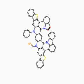 P=CN1c2cc3c(cc2B2c4c1cc1c(sc5ccccc51)c4-c1cccc4c5ccccc5n2c14)B1c2c(cc4c(sc5ccccc54)c2-c2cccc4c5ccccc5n1c24)N3c1ccccc1